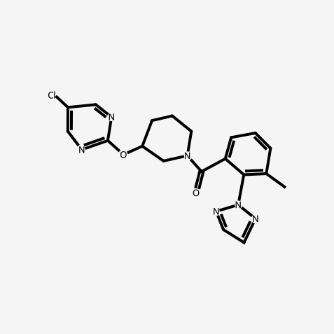 Cc1cccc(C(=O)N2CCCC(Oc3ncc(Cl)cn3)C2)c1-n1nccn1